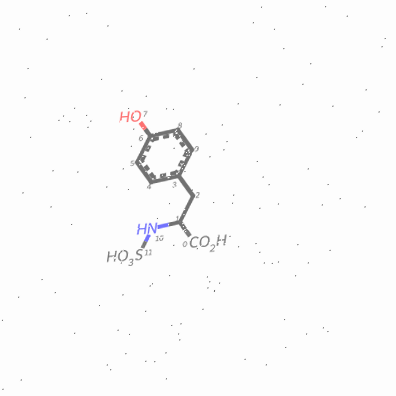 O=C(O)C(Cc1ccc(O)cc1)NS(=O)(=O)O